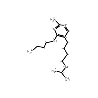 CCCCNc1nc(N)ncc1CCCCNC(C)C